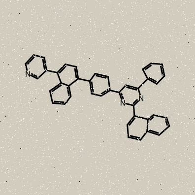 c1ccc(-c2cc(-c3ccc(-c4ccc(-c5cccnc5)c5ccccc45)cc3)nc(-c3cccc4ccccc34)n2)cc1